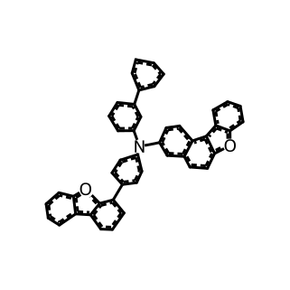 c1ccc(-c2cccc(N(c3ccc(-c4cccc5c4oc4ccccc45)cc3)c3ccc4c(ccc5oc6ccccc6c54)c3)c2)cc1